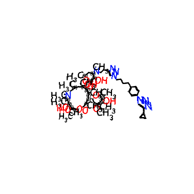 CC[C@H]1OC(=O)[C@H](C)[C@@H](C2C[C@@](C)(OC)[C@@H](O)[C@H](C)O2)[C@H](C)[C@@H](O[C@@H]2O[C@H](C)C[C@H](N(C)CCc3cn(CCCCc4ccc(-n5cc(C6CC6)nn5)cc4)nn3)[C@H]2O)[C@](C)(O)C[C@@H](C)CN(C)[C@H](C)[C@@H](O)[C@]1(C)O